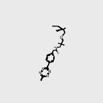 CCC(C)(C)COCC(C)(C)CNC(=O)Cc1ccc(-c2nnc(C)nn2)cc1